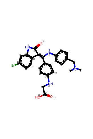 CN(C)Cc1ccc(N/C(=C2\C(=O)Nc3cc(Br)ccc32)c2ccc(NCC(=O)O)cc2)cc1